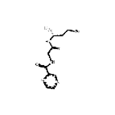 CC(C)(C)CC[C@H](NC(=O)CNC(=O)c1cnccn1)C(=O)O